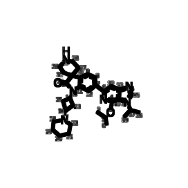 CC(C)Oc1nc(-c2ccc3c(c2)N([C@H]2C[C@@H](N4CCCCC4)C2)C(=O)C32CCNCC2)cc2ncn(C(C)C)c12